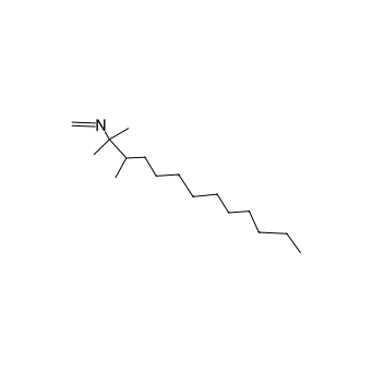 C=NC(C)(C)C(C)CCCCCCCCCC